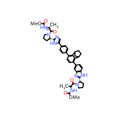 COC(=O)N[C@@H](C)C(=O)N1CCC[C@H]1c1ncc(-c2ccc(-c3ccc(-c4ccc5[nH]c([C@@H]6CCCN6C(=O)[C@H](C)NC(=O)OC)nc5c4)c4c3C3CCC4C3)cc2)[nH]1